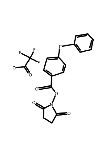 O=C(ON1C(=O)CCC1=O)c1ccc([I+]c2ccccc2)cc1.O=C([O-])C(F)(F)F